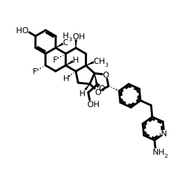 C[C@]12C=CC(O)C=C1[C@@H](F)C[C@H]1[C@@H]3C[C@H]4O[C@@H](c5ccc(Cc6ccc(N)nc6)cc5)O[C@@]4(C(=O)CO)[C@@]3(C)C[C@H](O)[C@@]12F